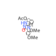 CCc1nc(-c2ccc(OC)cc2OC)c(=O)n(C)c1N[C@H]1c2ccccc2C[C@@H]1OC(C)=O